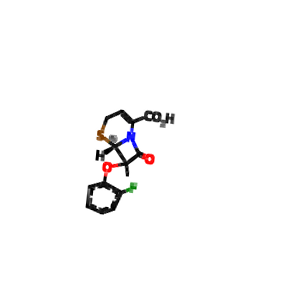 CC1(Oc2ccccc2F)C(=O)N2C(C(=O)O)=CCS[C@H]21